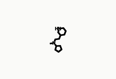 CN(CCC1CCCNC1)C1CCCC1